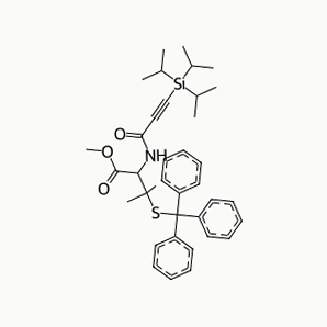 COC(=O)C(NC(=O)C#C[Si](C(C)C)(C(C)C)C(C)C)C(C)(C)SC(c1ccccc1)(c1ccccc1)c1ccccc1